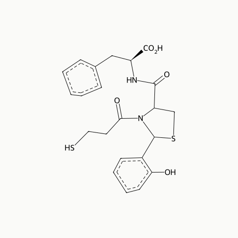 O=C(N[C@@H](Cc1ccccc1)C(=O)O)C1CSC(c2ccccc2O)N1C(=O)CCS